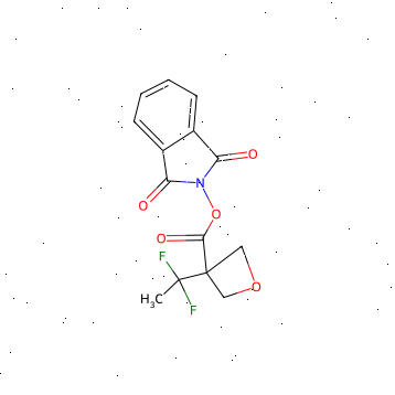 CC(F)(F)C1(C(=O)ON2C(=O)c3ccccc3C2=O)COC1